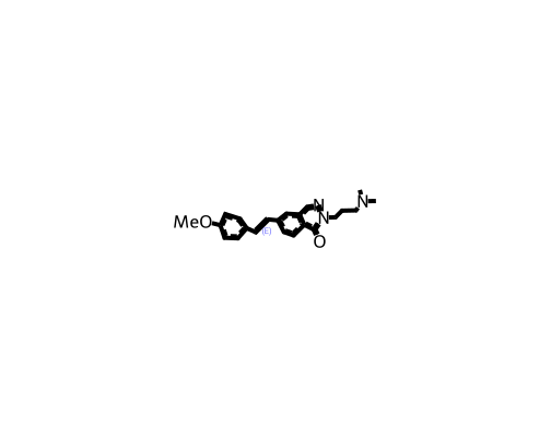 COc1ccc(/C=C/c2ccc3c(=O)n(CCCN(C)C)ncc3c2)cc1